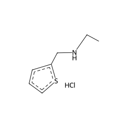 CCNCc1cccs1.Cl